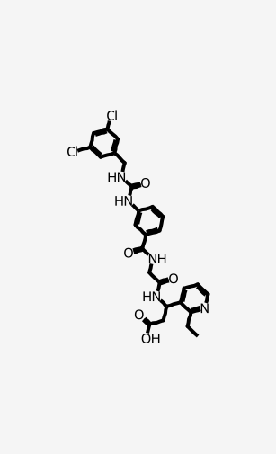 CCc1ncccc1C(CC(=O)O)NC(=O)CNC(=O)c1cccc(NC(=O)NCc2cc(Cl)cc(Cl)c2)c1